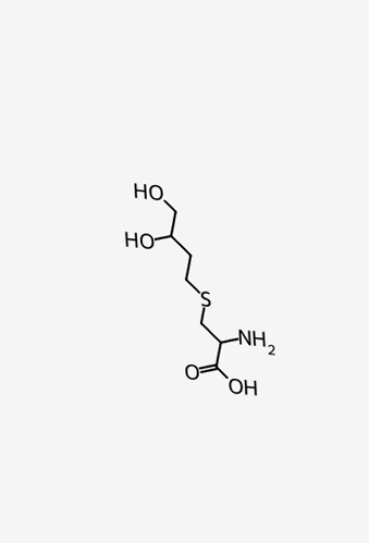 NC(CSCCC(O)CO)C(=O)O